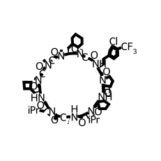 CC(C)C[C@H]1C(=O)N[C@@H](CC2CCC2)C(=O)N(C)CC(=O)N(C)CC(=O)N(C)[C@@H](CC2CCCCC2)C(=O)N(C)CC(=O)N[C@@H](CCc2ccc(C(F)(F)F)c(Cl)c2)C(=O)N2CCC[C@H]2C(=O)NC2(CCCC2)C(=O)N(C)[C@@H](C(C)C)C(=O)N[C@H](C)CC(=O)N1C